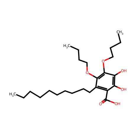 CCCCCCCCCCc1c(OCCCC)c(OCCCC)c(O)c(O)c1C(=O)O